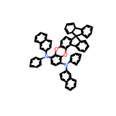 C1=CC2c3ccccc3C3(c4ccccc4-c4c3ccc3c4Oc4c(N(c5ccccc5)c5ccc6ccccc6c5)ccc(N(c5ccccc5)c5ccc6ccccc6c5)c4O3)C2C=C1